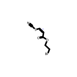 N#CS/C=C\C(=O)OCCBr